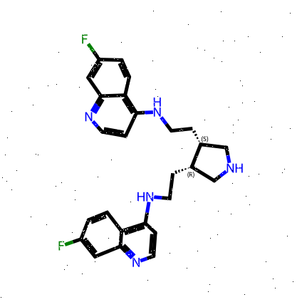 Fc1ccc2c(NCC[C@@H]3CNC[C@@H]3CCNc3ccnc4cc(F)ccc34)ccnc2c1